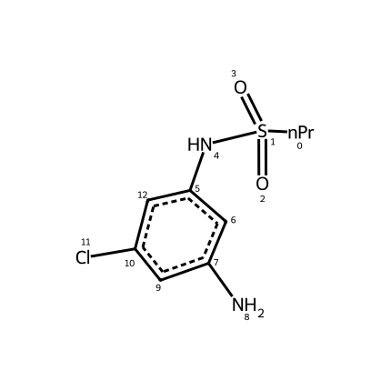 CCCS(=O)(=O)Nc1cc(N)cc(Cl)c1